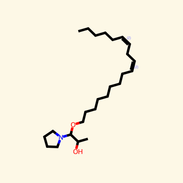 CCCCC/C=C\C/C=C\CCCCCCCCOC(C(C)O)N1CCCC1